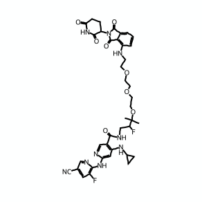 CC(C)(OCCOCCOCCNc1cccc2c1C(=O)N(C1CCC(=O)NC1=O)C2=O)C(F)CNC(=O)c1cnc(Nc2ncc(C#N)cc2F)cc1NC1CC1